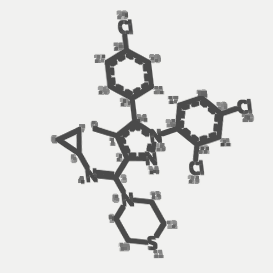 Cc1c(C(=NC2CC2)N2CCSCC2)nn(-c2ccc(Cl)cc2Cl)c1-c1ccc(Cl)cc1